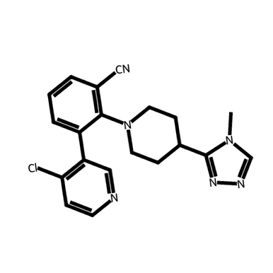 Cn1cnnc1C1CCN(c2c(C#N)cccc2-c2cnccc2Cl)CC1